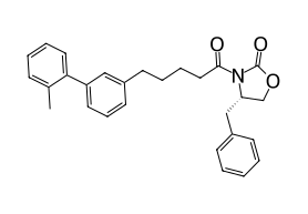 Cc1ccccc1-c1cccc(CCCCC(=O)N2C(=O)OC[C@@H]2Cc2ccccc2)c1